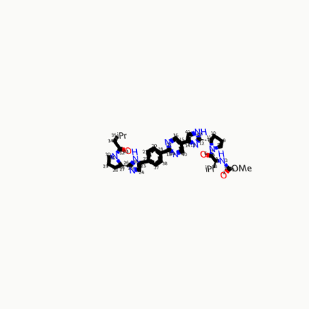 COC(=O)N[C@H](C(=O)N1CCC[C@H]1c1nc(-c2cnc(-c3ccc(-c4cnc([C@@H]5CCCN5C(=O)CC(C)C)[nH]4)cc3)nc2)c[nH]1)C(C)C